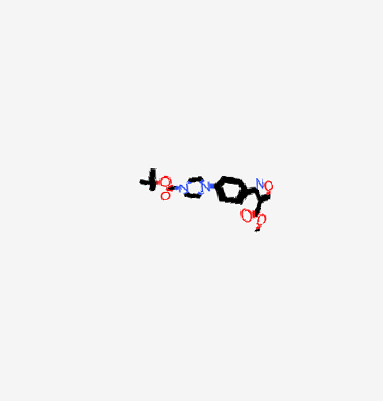 COC(=O)c1conc1-c1ccc(N2CCN(C(=O)OC(C)(C)C)CC2)cc1